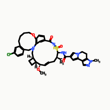 CO[C@H]1/C=C/C[C@H](C)C(NC(=O)c2cc3n(c2)CCc2c-3cnn2C)/[SH](=O)=N\C(=O)c2ccc3c(c2)N(Cc2ccc(Cl)cc2CCCCO3)C[C@@H]2CC[C@H]21